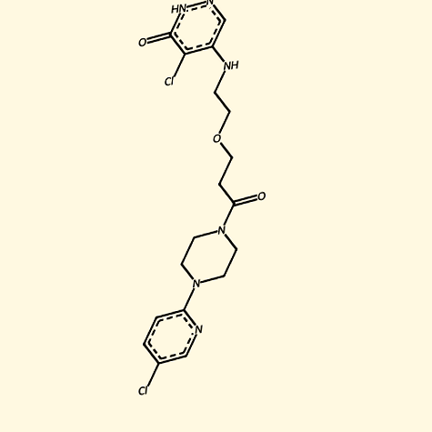 O=C(CCOCCNc1cn[nH]c(=O)c1Cl)N1CCN(c2ccc(Cl)cn2)CC1